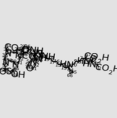 O=C(O)CNC(=O)NC(CCCCNC(CCCCCCCNc1nc(Nc2ccc(CC3CN(CC(=O)O)CCN4CCN(CCN3CC(=O)O)CC(O)=S=C(O)C4)cc2)nc(N2CCOCC2)n1)=C1CC1)C(=O)O